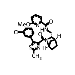 COc1cccc(C(=O)NC[C@@H]2[C@H]3CC[C@H](C3)N2C(=O)c2nc(C)sc2-c2cccc(Cl)c2)n1